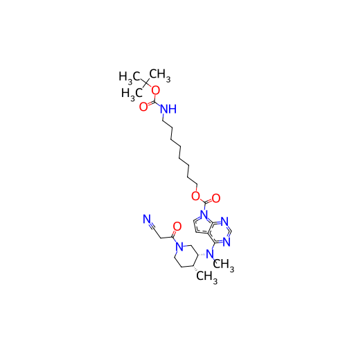 C[C@@H]1CCN(C(=O)CC#N)C[C@@H]1N(C)c1ncnc2c1ccn2C(=O)OCCCCCCCCNC(=O)OC(C)(C)C